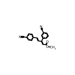 COC(=O)C=C(C=Cc1ccc(C#N)cc1)c1cccc(C#N)c1